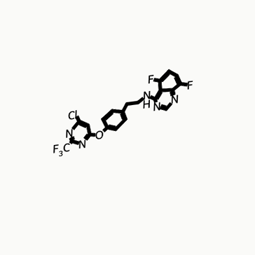 Fc1ccc(F)c2c(NCCc3ccc(Oc4cc(Cl)nc(C(F)(F)F)n4)cc3)ncnc12